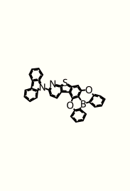 c1ccc2c(c1)Oc1cc3sc4nc(-n5c6ccccc6c6ccccc65)ccc4c3c3c1B2c1ccccc1O3